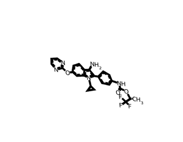 C[C@@H](OC(=O)Nc1ccc(-c2c(N)c3ccc(Oc4ncccn4)cc3n2C2CC2)cc1)C(F)(F)F